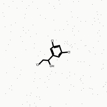 OC(CCl)c1cc(Cl)cc(Cl)c1